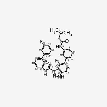 CC(C)CC(=O)Nc1cncc(-c2ncc3[nH]nc(-c4nc5c(-c6cccc(F)c6)nccc5[nH]4)c3c2F)c1